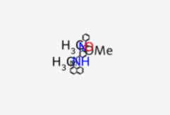 COc1ccc(CN[C@H](C)c2cccc3ccccc23)cc1N(C)C(=O)c1ccccc1